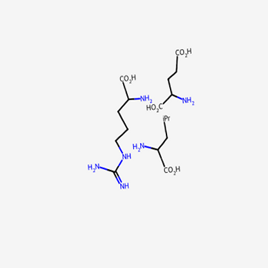 CC(C)CC(N)C(=O)O.N=C(N)NCCCC(N)C(=O)O.NC(CCC(=O)O)C(=O)O